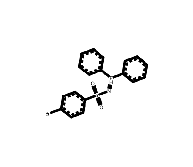 O=S(=O)(N=[PH](c1ccccc1)c1ccccc1)c1ccc(Br)cc1